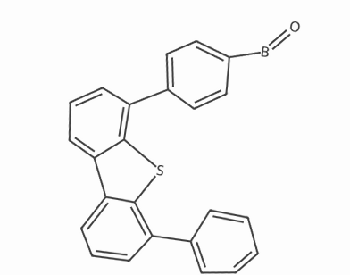 O=Bc1ccc(-c2cccc3c2sc2c(-c4ccccc4)cccc23)cc1